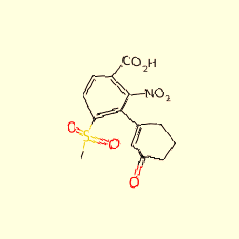 CS(=O)(=O)c1ccc(C(=O)O)c([N+](=O)[O-])c1C1=CC(=O)CCC1